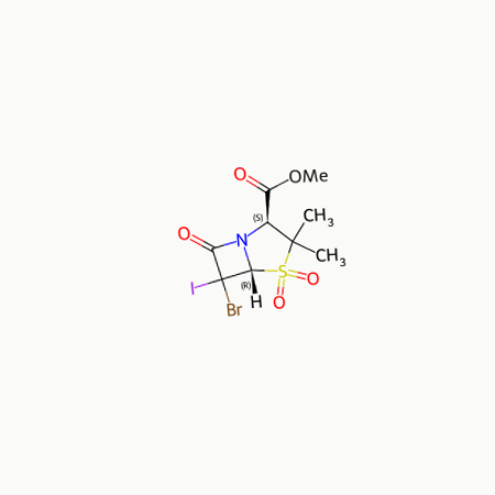 [CH2]OC(=O)[C@@H]1N2C(=O)C(Br)(I)[C@H]2S(=O)(=O)C1(C)C